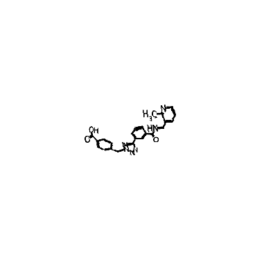 Cc1ncccc1CNC(=O)c1cccc(-c2nnn(Cc3ccc(C(=O)O)cc3)n2)c1